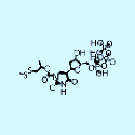 CSSCC(C)OC(=O)n1cc([C@H]2C[C@@H](O)[C@@H](COP(=O)(O)OP(=O)(O)OP(=O)(O)O)O2)c(=O)[nH]c1=O